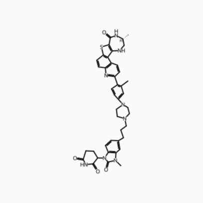 Cc1cc(N2CCN(CCCc3ccc4c(c3)n(C)c(=O)n4C3CCC(=O)NC3=O)CC2)ccc1-c1ccc2c(ccc3sc4c(c32)NC[C@@H](C)NC4=O)n1